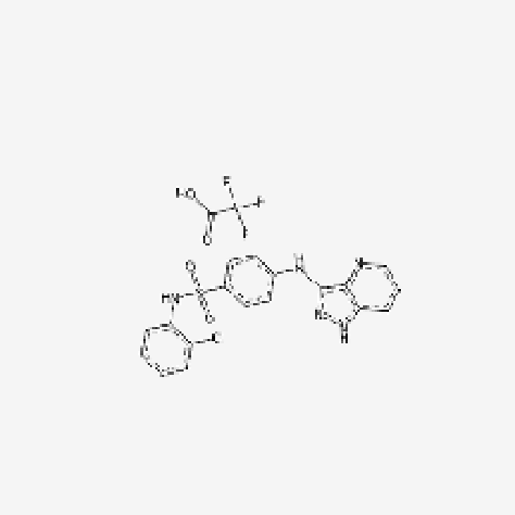 O=C(O)C(F)(F)F.O=S(=O)(Nc1ccccc1Cl)c1ccc(Nc2n[nH]c3cccnc23)cc1